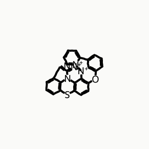 c1cc2c3c(c1)-c1cccc[n+]1[N+]31c3c(ccc4c3-n3c5c(cccc5c5cnc[n+]1c53)S4)O2